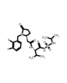 CC(C)NS(=O)(=O)NC(=O)[C@@H](NC(=O)C[C@@H]1CCC(=O)N1Cc1cccc(F)c1F)C(C)C